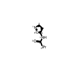 CC(C)C(=O)Nc1ccno1